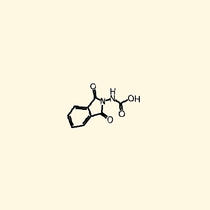 O=C(O)NN1C(=O)c2ccccc2C1=O